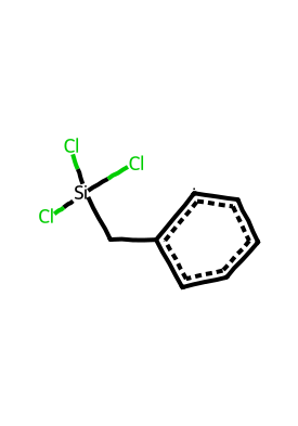 Cl[Si](Cl)(Cl)Cc1[c]cccc1